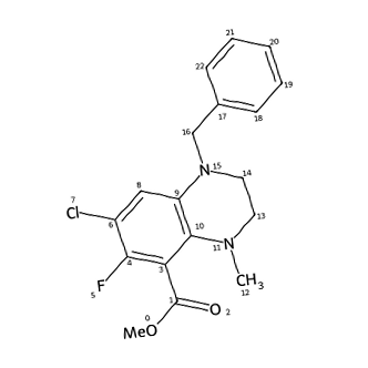 COC(=O)c1c(F)c(Cl)cc2c1N(C)CCN2Cc1ccccc1